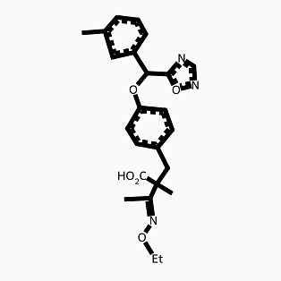 CCON=C(C)C(C)(Cc1ccc(OC(c2cccc(C)c2)c2ncno2)cc1)C(=O)O